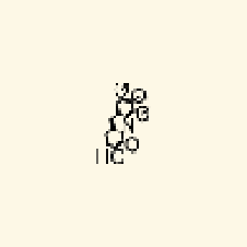 COc1cc2cc3ccc(O)c(OC)c3nc2c(OC)c1OC